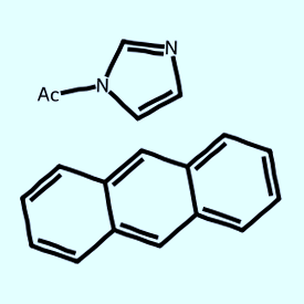 CC(=O)n1ccnc1.c1ccc2cc3ccccc3cc2c1